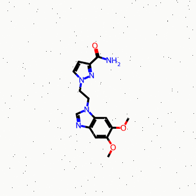 COc1cc2ncn(CCn3c[c]c(C(N)=O)n3)c2cc1OC